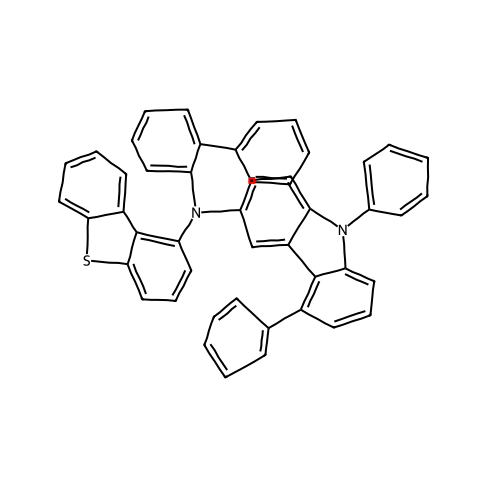 c1ccc(-c2ccccc2N(c2ccc3c(c2)c2c(-c4ccccc4)cccc2n3-c2ccccc2)c2cccc3sc4ccccc4c23)cc1